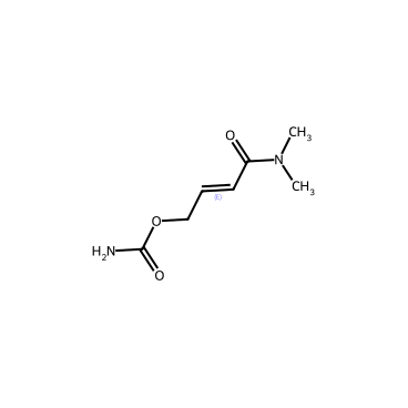 CN(C)C(=O)/C=C/COC(N)=O